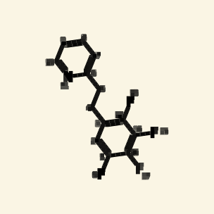 Fc1cc(CCc2ccccn2)c(F)c(F)c1F